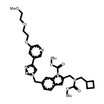 COCCOCCOc1cncc(-c2cn(Cc3ccc4cc(CN(CC5CCC5)C(=O)OC(C)(C)C)n(C(=O)OC(C)(C)C)c4c3)nn2)c1